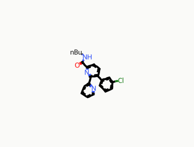 CCCCNC(=O)c1ccc(-c2cccc(Cl)c2)c(-c2ccccn2)n1